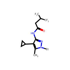 CCn1nc(NC(=O)CC(C(F)(F)F)C(F)(F)F)c(C2CC2)c1C